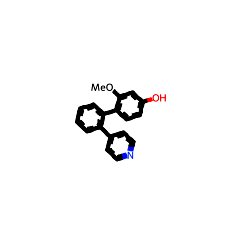 COc1cc(O)ccc1-c1ccccc1-c1ccncc1